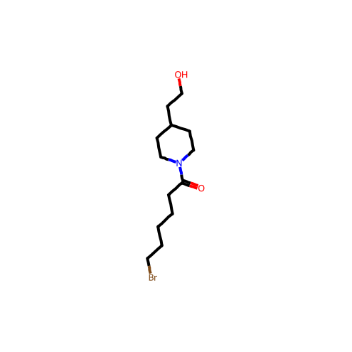 O=C(CCCCCBr)N1CCC(CCO)CC1